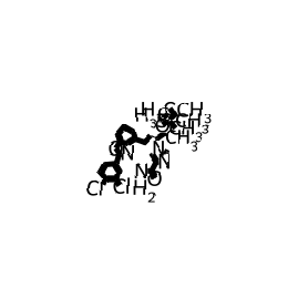 C[C@H](O[Si](C)(C)C(C)(C)C)[C@@H](CCc1cccc2oc(-c3ccc(Cl)c(Cl)c3)nc12)n1cnc(C(N)=O)c1